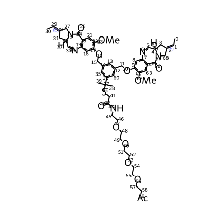 C/C=C1\C[C@H]2C=Nc3cc(OCc4cc(COc5cc6c(cc5OC)C(=O)N5C/C(=C/C)C[C@H]5C=N6)cc(C(C)(C)SCC(=O)NCCOCCOCCOCCOCCC(C)=O)c4)c(OC)cc3C(=O)N2C1